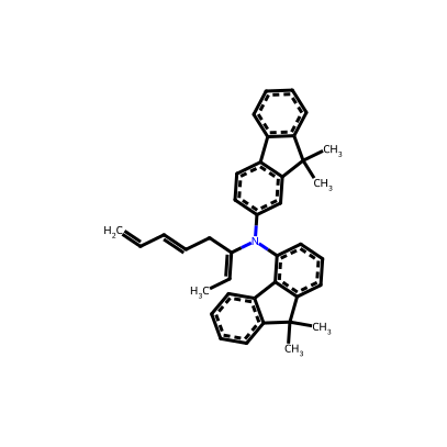 C=C/C=C/C/C(=C\C)N(c1ccc2c(c1)C(C)(C)c1ccccc1-2)c1cccc2c1-c1ccccc1C2(C)C